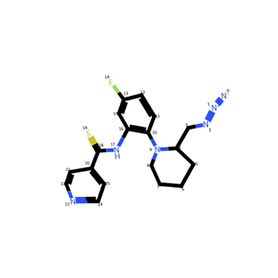 [N-]=[N+]=NCC1CCCCN1c1ccc(F)cc1NC(=S)c1ccncc1